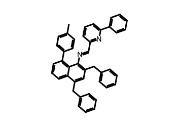 Cc1ccc(-c2cccc3c(Cc4ccccc4)cc(Cc4ccccc4)c(N=Cc4cccc(-c5ccccc5)n4)c23)cc1